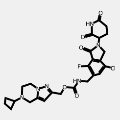 O=C1CCC(N2Cc3c(Cl)cc(CNC(=O)OCc4cc5n(n4)CCN(C4CCC4)C5)c(F)c3C2=O)C(=O)N1